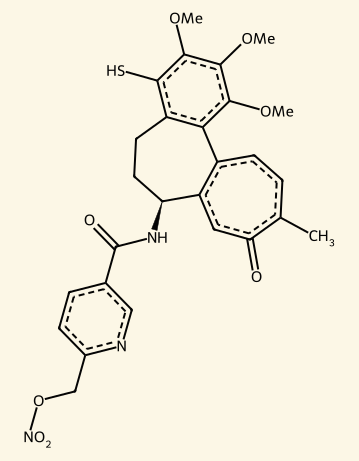 COc1c(S)c2c(c(OC)c1OC)-c1ccc(C)c(=O)cc1[C@@H](NC(=O)c1ccc(CO[N+](=O)[O-])nc1)CC2